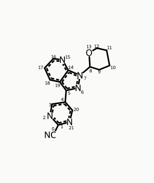 N#Cc1ncc(-c2nn(C3CCCCO3)c3ncccc23)cn1